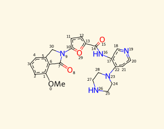 COc1cccc2c1C(=O)N(c1ccc(C(=O)Nc3cnccc3N3CCNCC3)o1)C2